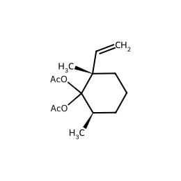 C=C[C@]1(C)CCC[C@@H](C)C1(OC(C)=O)OC(C)=O